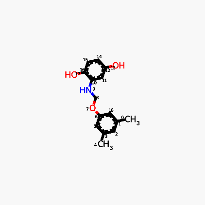 Cc1cc(C)cc(OCNc2cc(O)ccc2O)c1